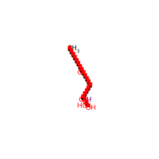 CCCCCCCCCCCCCCCC(=O)CCCCCCCC/C=C\CCCCCCCC(=O)POCC(O)CO